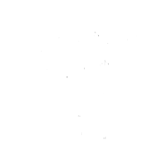 O=c1[nH]c2ccc(F)cc2n1CC1CCOCC1